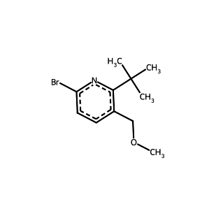 COCc1ccc(Br)nc1C(C)(C)C